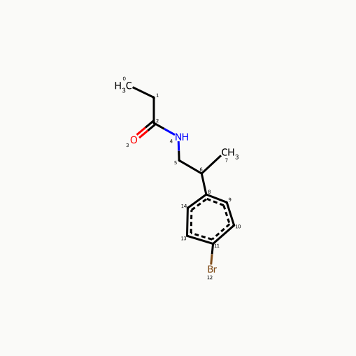 CCC(=O)NCC(C)c1ccc(Br)cc1